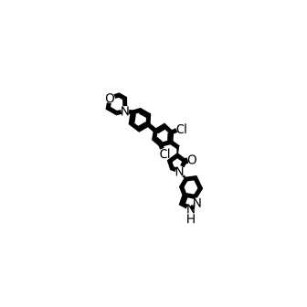 O=C1[C@H](Cc2c(Cl)cc(-c3ccc(N4CCOCC4)cc3)cc2Cl)CCN1[C@H]1CCc2n[nH]cc2C1